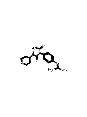 CC(C)Oc1ccc([C@@H](C(N)=O)C(=O)NC2CCOCC2)cc1